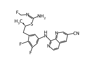 C[C@H](Cc1cc(Nc2nccc3cc(C#N)cnc23)cc(F)c1F)S/C(N)=N\CF